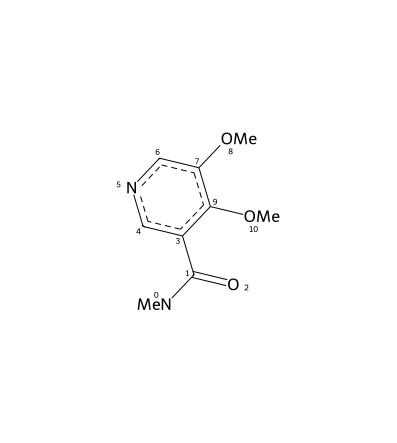 CNC(=O)c1cncc(OC)c1OC